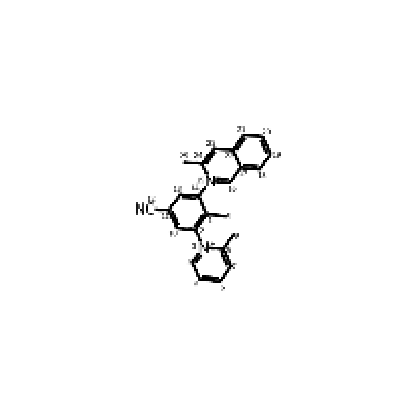 Cc1c(-[n+]2ccccc2C)cc(C#N)cc1-[n+]1cc2ccccc2cc1C